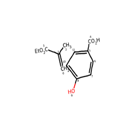 C=C(C)C(=O)OCC.O=C(O)c1ccc(O)cc1